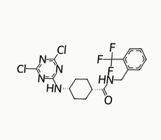 O=C(NCc1ccccc1C(F)(F)F)[C@H]1CC[C@@H](Nc2nc(Cl)nc(Cl)n2)CC1